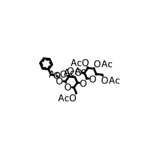 CC(=O)OCC1OC(OOCc2ccccc2)C(OC(C)=O)(OC(C)=O)CC1OC1OC(COC(C)=O)C(OC(C)=O)C(OC(C)=O)C1OC(C)=O